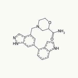 NC(=O)C1CN(Cc2cc(-c3cccc4[nH]ccc34)cc3[nH]ncc23)CCO1